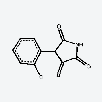 C=C1C(=O)NC(=O)C1c1ccccc1Cl